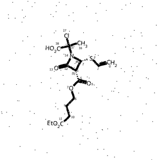 C=CS[C@@H]1[C@H](C(=O)OCCCC(=O)OCC)C(=O)N1C(C)(Cl)C(=O)O